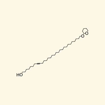 OCCCCCCCC#CCCCCCCCCCCCCCCCCCCCCOC1CCCCO1